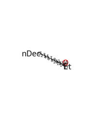 CCCCCCCCCCCCCCCCCCCCCCCCC(=O)CC